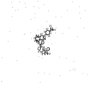 CNC(=O)N1CCO[C@H]([C@@H](C)Oc2nc(-c3ccc(N(C)C)cc3)cc3nccnc23)C1